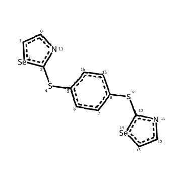 c1c[se]c(Sc2ccc(Sc3ncc[se]3)cc2)n1